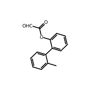 Cc1ccccc1-c1ccccc1OC(=O)C=O